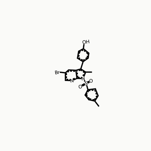 Cc1ccc(S(=O)(=O)n2c(C)c(-c3ccc(O)cc3)c3cc(Br)cnc32)cc1